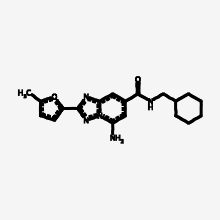 Cc1ccc(-c2nc3cc(C(=O)NCC4CCCCC4)cc(N)n3n2)o1